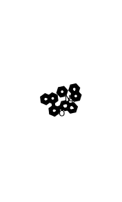 C1=CC2c3oc4cccc(-c5cccc6ccccc56)c4c3C=C(N(c3ccccc3)c3cccc4ccccc34)[C@@H]2C=C1